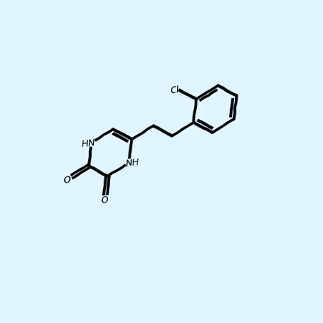 O=c1[nH]cc(CCc2ccccc2Cl)[nH]c1=O